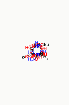 C[C@@H](O)[C@@H]1NC(=O)[C@@H](NC(=O)OC(C)(C)C)C[C@@H](O)CNC(=O)[C@@H]2[C@@H](O)[C@@H](C)CN2C(=O)[C@H]([C@H](O)CC(N)=O)NC(=O)[C@H]([C@H](O)Cc2ccc(OCc3ccccc3)c(O)c2)NC(=O)[C@@H]2C[C@@H](O)CN2C1=O